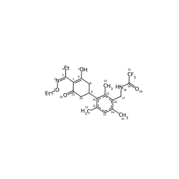 CCO/N=C(/CC)C1=C(O)CC(c2c(C)cc(C)c(CNC(=O)C(F)(F)F)c2C)CC1=O